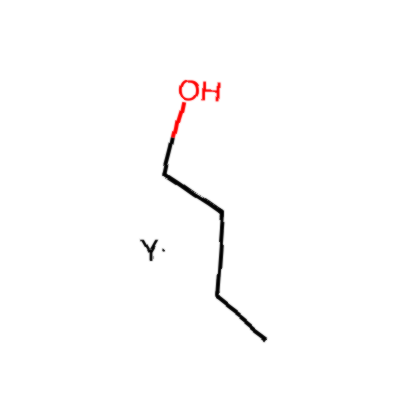 CCCCO.[Y]